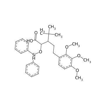 COc1ccc(CCC(C(O[SiH](c2ccccc2)c2ccccc2)C(=O)O)C(C)(C)C)c(OC)c1OC